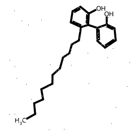 CCCCCCCCCCCCc1cccc(O)c1-c1ccccc1O